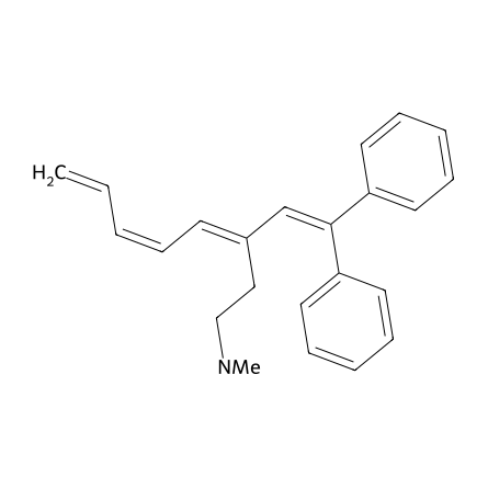 C=C/C=C\C=C(\C=C(c1ccccc1)c1ccccc1)CCNC